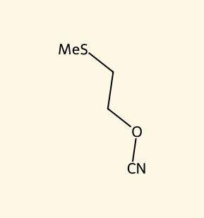 CSCCOC#N